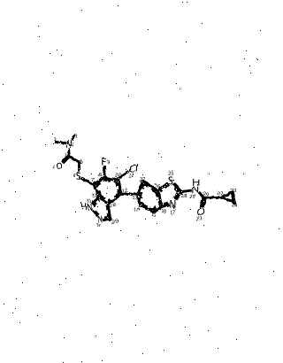 CN(C)C(=O)CSc1c(F)c(Cl)c(-c2ccc3nc(NC(=O)C4CC4)sc3c2)c2cn[nH]c12